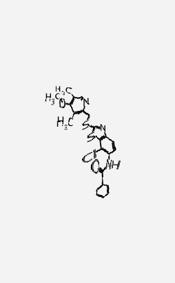 COc1c(C)cnc(CSc2nc3ccc(NC(=O)c4ccccc4)c(Cl)c3s2)c1C